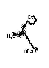 CC/C=C\C/C=C\C/C=C\C/C=C\C/C=C\CCCC(=O)OC[C@H](COP(=O)([O-])OCC[N+](C)(C)C)OC(=O)CCCCCCCCCCC/C=C\C/C=C\CCCCC